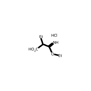 CCOC(=N)C(CC)C(=O)O.Cl